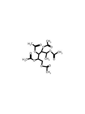 CC(=O)OCC(OC(C)=O)C(OC(C)=O)C(OC(C)=O)C(C)OC(C)=O